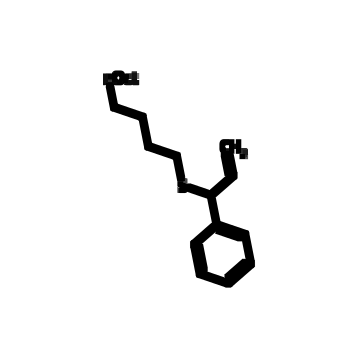 C=CC(SCCCCCCCCCCCC)c1ccccc1